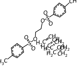 C=C.C=C.C=C.C=C.C=C.Cc1ccc(S(=O)(=O)OCCOS(=O)(=O)c2ccc(C)cc2)cc1